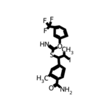 Cc1cc(C(SC(=N)Oc2cccc(C(F)(F)F)c2)C(C)I)ccc1C(N)=O